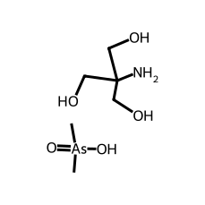 C[As](C)(=O)O.NC(CO)(CO)CO